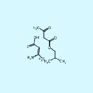 CC(=O)CC(=O)OCC(C)C.CC(N)=CC(=O)O